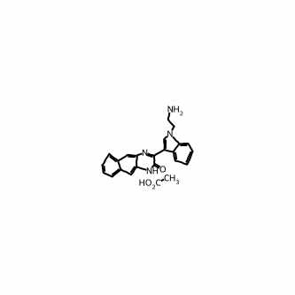 CC(=O)O.NCCn1cc(-c2nc3cc4ccccc4cc3[nH]c2=O)c2ccccc21